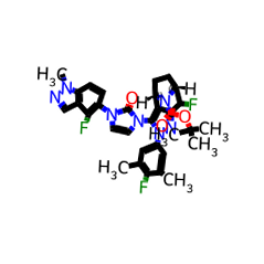 Cc1cc(-n2nc3c(c2-n2ccn(-c4ccc5c(cnn5C)c4F)c2=O)[C@@H]2CC[C@H](C3F)N2C(=O)OC(C)(C)C)cc(C)c1F